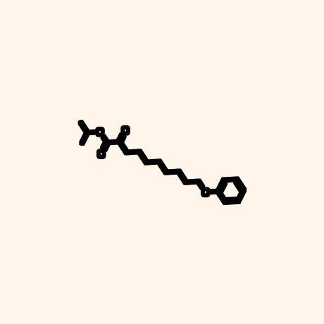 CC(C)OC(=O)C(=O)CCCCCCCCOc1ccccc1